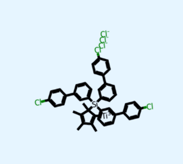 CC1=C(C)C(C)([Si](c2cccc(-c3ccc(Cl)cc3)c2)(c2cccc(-c3ccc(Cl)cc3)c2)c2cccc(-c3ccc(Cl)cc3)c2)[C]([Ti+3])=C1C.[Cl-].[Cl-].[Cl-]